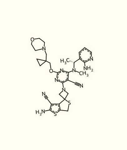 C[C@H](c1cccnc1N)N(C)c1nc(OCC2(CN3CCOCC3)CC2)nc(N2CC3(C2)SCc2sc(N)c(C#N)c23)c1C#N